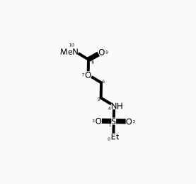 CCS(=O)(=O)NCCOC(=O)NC